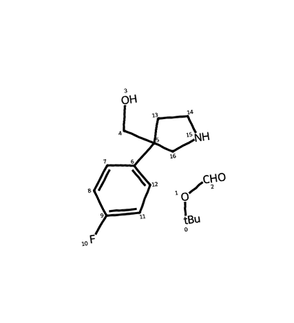 CC(C)(C)OC=O.OCC1(c2ccc(F)cc2)CCNC1